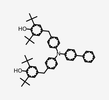 CC(C)(C)c1cc(Cc2ccc(N(c3ccc(Cc4cc(C(C)(C)C)c(O)c(C(C)(C)C)c4)cc3)c3ccc(-c4ccccc4)cc3)cc2)cc(C(C)(C)C)c1O